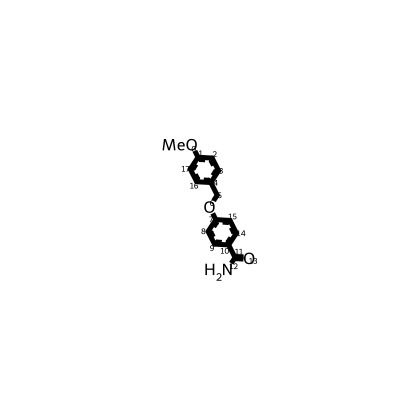 COc1ccc(COc2ccc(C(N)=O)cc2)cc1